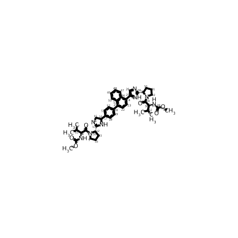 COC(=O)N[C@H](C(=O)N1CCC[C@H]1C1=NCC(c2ccc(-c3ccc(-c4cnc([C@@H]5CCCN5C(=O)[C@@H](NC(=O)OC)C(C)C)[nH]4)c4ccccc34)cc2)N1)C(C)C